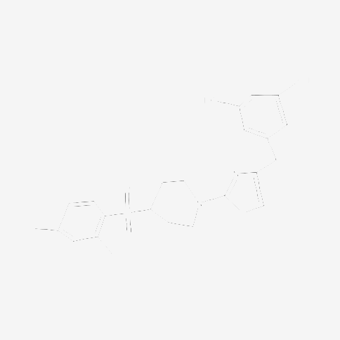 Cc1cc(C)cc(Cc2csc(N3CCC(S(=O)(=O)c4ccc(Br)cc4Cl)CC3)n2)c1